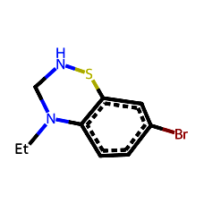 CCN1CNSc2cc(Br)ccc21